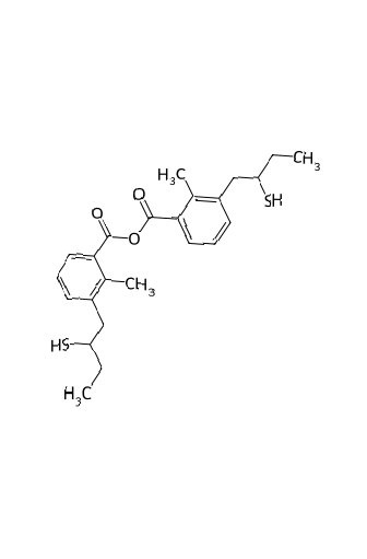 CCC(S)Cc1cccc(C(=O)OC(=O)c2cccc(CC(S)CC)c2C)c1C